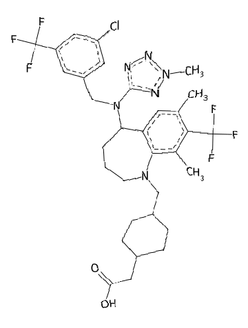 Cc1cc2c(c(C)c1C(F)(F)F)N(CC1CCC(CC(=O)O)CC1)CCCC2N(Cc1cc(Cl)cc(C(F)(F)F)c1)c1nnn(C)n1